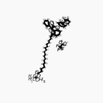 CC(C)(C)OC(=O)CCCCCCCCCCCCCCCCCCC(=O)OC(C(=O)OC1CC2CCC(C1)[N+]21CCCC1)(c1ccccc1)c1ccccc1.O=C([O-])C(F)(F)F